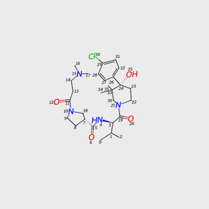 CC(C)[C@@H](NC(=O)[C@@H]1CCN(C(=O)CCN(C)C)C1)C(=O)N1CC[C@](O)(c2ccc(Cl)cc2)C(C)(C)C1